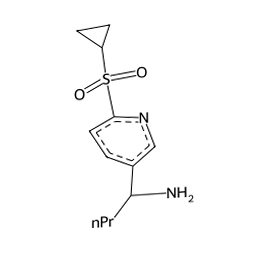 CCCC(N)c1ccc(S(=O)(=O)C2CC2)nc1